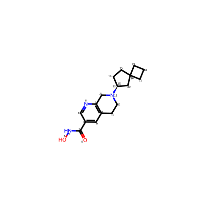 O=C(NO)c1cnc2c(c1)CCN([C@H]1CCC3(CCC3)C1)C2